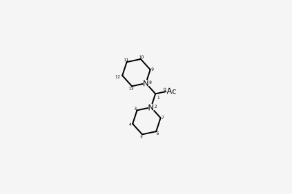 CC(=O)C(N1CCCCC1)N1CCCCC1